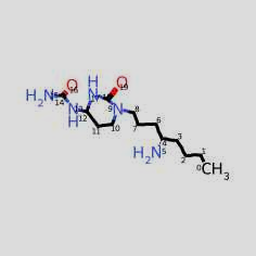 CCCC[C@H](N)CCCN1CCC(NC(N)=O)NC1=O